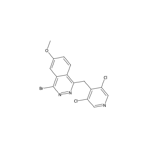 COc1ccc2c(Cc3c(Cl)cncc3Cl)nnc(Br)c2c1